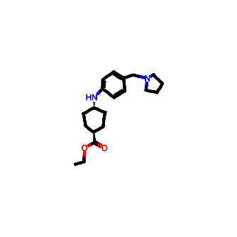 CCOC(=O)[C@H]1CC[C@H](Nc2ccc(CN3CCCC3)cc2)CC1